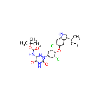 CC(C)c1c[nH]c2ccc(Oc3c(Cl)cc(-n4nc(NC(=O)OC(C)(C)C)c(=O)[nH]c4=O)cc3Cl)cc12